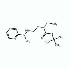 CCN(CCNN(C)c1ncccn1)C(=O)OC(C)(C)C